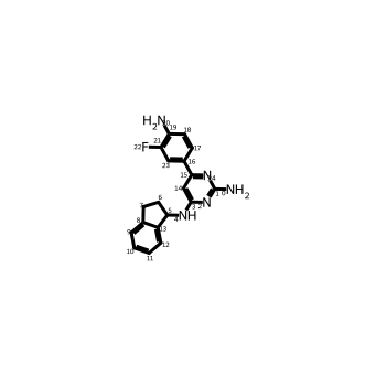 Nc1nc(NC2CCc3ccccc32)cc(-c2ccc(N)c(F)c2)n1